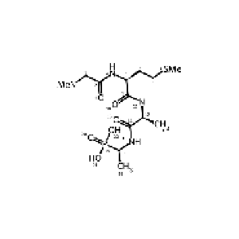 CNCC(=O)N[C@@H](CCSC)C(=O)N[C@@H](C)C(=O)N[C@@H](C)P(=O)(O)O